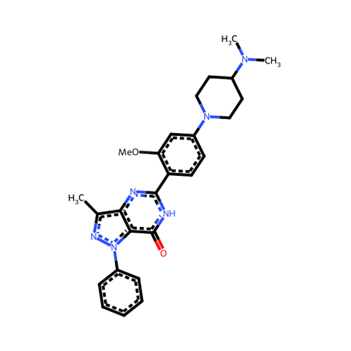 COc1cc(N2CCC(N(C)C)CC2)ccc1-c1nc2c(C)nn(-c3ccccc3)c2c(=O)[nH]1